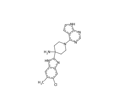 Cc1cc2[nH]c(C3(N)CCN(c4ncnc5[nH]ccc45)CC3)nc2cc1Cl